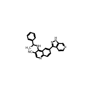 CC(Nc1c(C#N)cnc2ccc(-c3n[nH]c4cnccc34)cc12)c1ccccc1